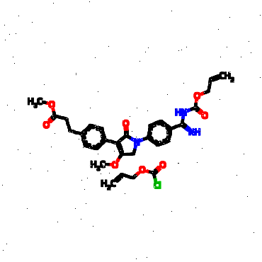 C=CCOC(=O)Cl.C=CCOC(=O)NC(=N)c1ccc(N2CC(OC)=C(c3ccc(CCC(=O)OC)cc3)C2=O)cc1